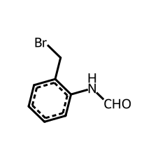 O=CNc1ccccc1CBr